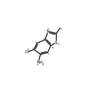 Cc1nc2cc(Cl)c(N)cc2s1